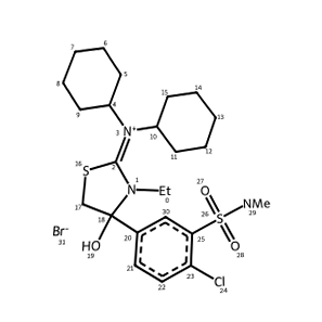 CCN1C(=[N+](C2CCCCC2)C2CCCCC2)SCC1(O)c1ccc(Cl)c(S(=O)(=O)NC)c1.[Br-]